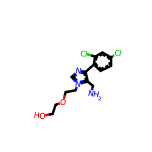 NCc1c(-c2ccc(Cl)cc2Cl)ncn1CCOCCO